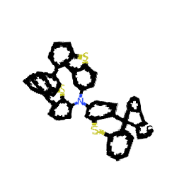 c1ccc(-c2cccc3sc4ccc(N(c5ccc6c(c5)Sc5ccccc5C65c6ccccc6-c6ccccc65)c5cccc6c5sc5ccccc56)cc4c23)cc1